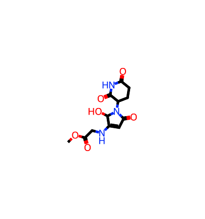 COC(=O)CNC1=CC(=O)N(C2CCC(=O)NC2=O)C1O